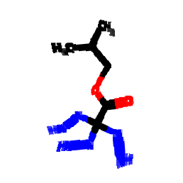 CC(C)COC(=O)C(N=N)(N=N)N=N